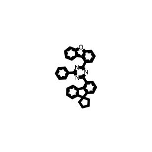 c1ccc(-c2nc(-c3cccc4c3-c3ccccc3C43CCCC3)nc(-c3cccc4oc5ccccc5c34)n2)cc1